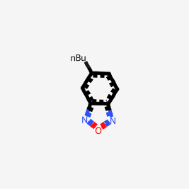 CCCCc1ccc2nonc2c1